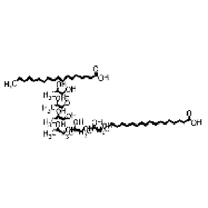 CC(O)CO.CC(O)CO.CC(O)CO.CC(O)CO.CC(O)CO.CC(O)CO.CCCCCCCCCCCCCCCCCC(=O)O.CCCCCCCCCCCCCCCCCC(=O)O